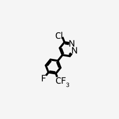 Fc1ccc(-c2cnnc(Cl)c2)cc1C(F)(F)F